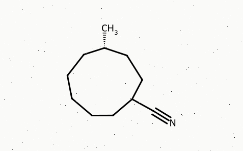 C[C@H]1CCCCCC(C#N)CC1